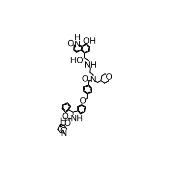 O=C(N[C@@H](c1ccccc1)c1cccc(OCc2ccc(C(=O)N(CCCNC[C@H](O)c3ccc(O)c4[nH]c(=O)ccc34)CC3CCOCC3)cc2)c1)O[C@H]1CN2CCC1CC2